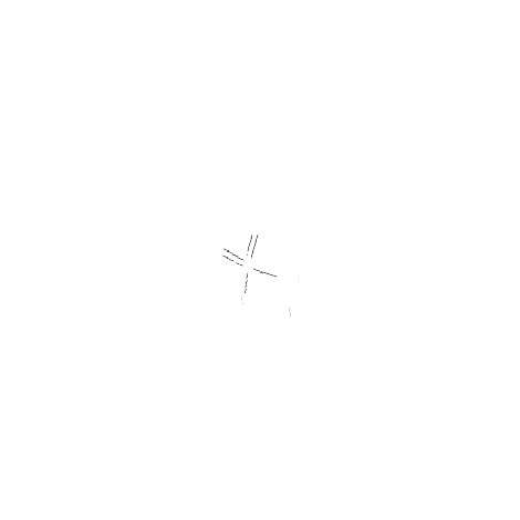 O=[S](=O)(O)[Fe].[F]